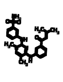 CC(C)=CC(=O)c1cccc(NC2=NC(Nc3cccc(S(N)(=O)=O)c3)N(C)C=C2C)c1